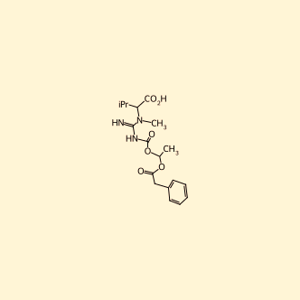 CC(OC(=O)Cc1ccccc1)OC(=O)NC(=N)N(C)C(C(=O)O)C(C)C